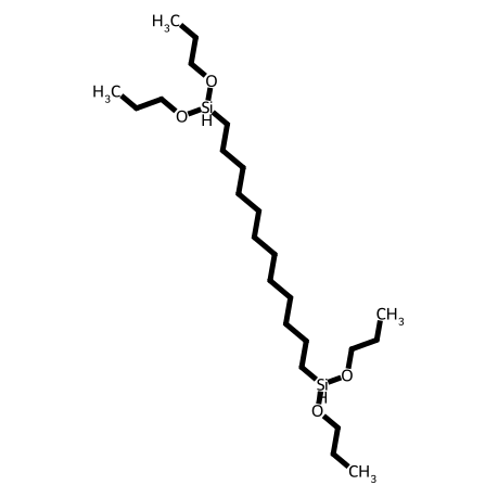 CCCO[SiH](CCCCCCCCCCCC[SiH](OCCC)OCCC)OCCC